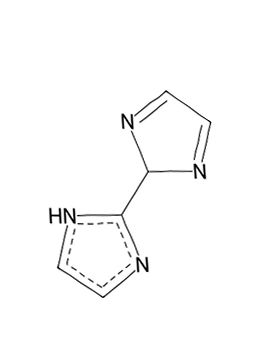 C1=NC(c2ncc[nH]2)N=C1